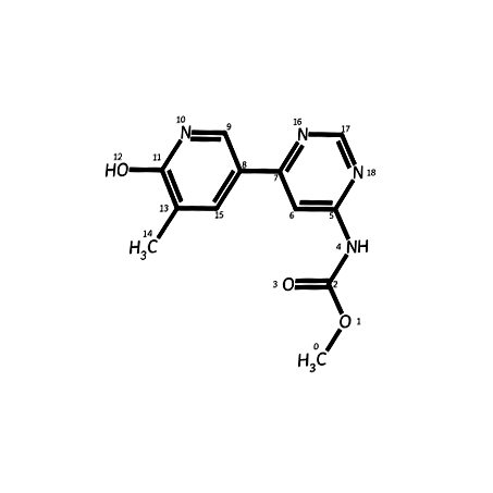 COC(=O)Nc1cc(-c2cnc(O)c(C)c2)ncn1